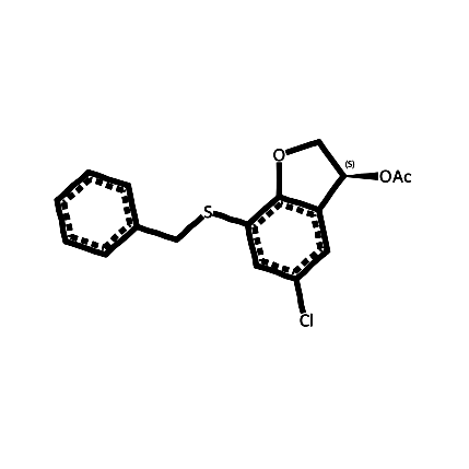 CC(=O)O[C@@H]1COc2c(SCc3ccccc3)cc(Cl)cc21